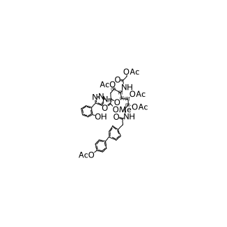 COC(=O)[C@@]1(n2cc(-c3ccccc3O)nn2)C[C@H](OC(C)=O)[C@@H](NC(=O)COC(C)=O)[C@H]([C@H](OC(C)=O)[C@@H](CNC(=O)Cc2ccc(-c3ccc(OC(C)=O)cc3)cc2)OC(C)=O)O1